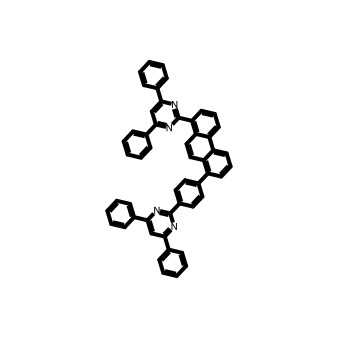 c1ccc(-c2cc(-c3ccccc3)nc(-c3ccc(-c4cccc5c4ccc4c(-c6nc(-c7ccccc7)cc(-c7ccccc7)n6)cccc45)cc3)n2)cc1